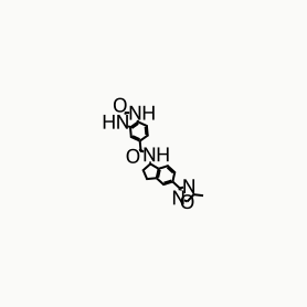 Cc1nc(-c2ccc3c(c2)CC[C@H]3NC(=O)c2ccc3[nH]c(=O)[nH]c3c2)no1